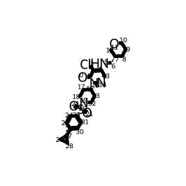 O=c1c(Cl)c(NC[C@H]2CCCOC2)cnn1C1CCN(S(=O)(=O)c2ccc(C3CC3)cc2)CC1